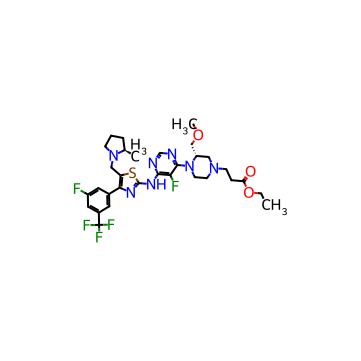 CCOC(=O)CCN1CCN(c2ncnc(Nc3nc(-c4cc(F)cc(C(F)(F)F)c4)c(CN4CCC[C@H]4C)s3)c2F)[C@H](COC)C1